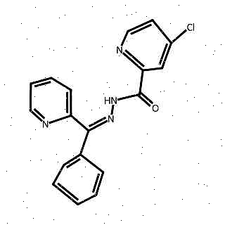 O=C(N/N=C(/c1ccccc1)c1ccccn1)c1cc(Cl)ccn1